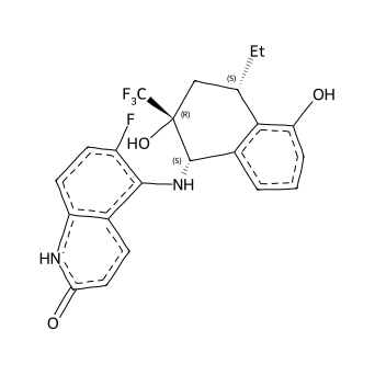 CC[C@H]1C[C@](O)(C(F)(F)F)[C@@H](Nc2c(F)ccc3[nH]c(=O)ccc23)c2cccc(O)c21